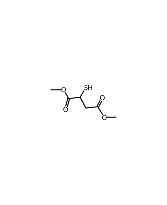 COC(=O)CC(S)C(=O)OC